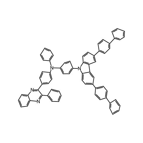 c1ccc(-c2ccc(-c3ccc4c(c3)c3cc(-c5ccc(-c6ccccc6)cc5)ccc3n4-c3ccc(N(c4ccccc4)c4ccc(-c5nc6ccccc6nc5-c5ccccc5)cc4)cc3)cc2)cc1